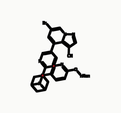 CCCCCCCCCOc1ccc(CN2C3CC2CN(c2ccc(-c4cc(Br)cn5ncc(C#N)c45)cn2)C3)cn1